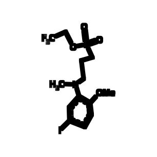 COc1ccc(I)cc1N(C)CCCS(=O)(=O)OCC(F)(F)F